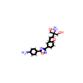 Nc1ccc(-c2nc(-c3ccc4oc(C(N)(CO)CO)cc4c3)no2)cc1